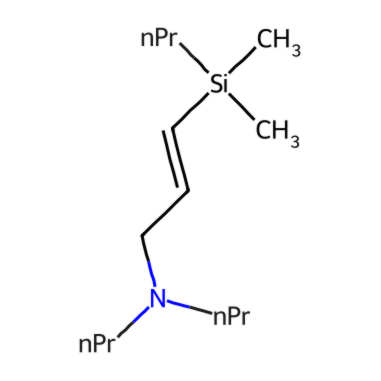 CCCN(CC=C[Si](C)(C)CCC)CCC